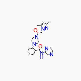 Cc1cc(C)n(CC(=O)N2CCN(c3ccccc3C(=O)Nc3cnccn3)CC2)n1